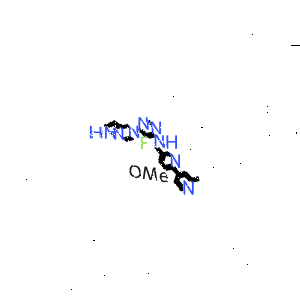 COc1cc(CNc2ncnc(N3CCN4NCC=C4C3)c2F)cnc1-c1ccnc(C)c1